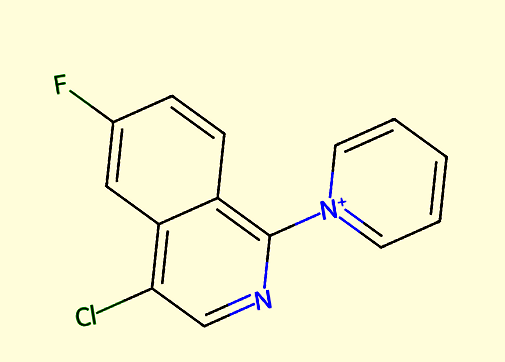 Fc1ccc2c(-[n+]3ccccc3)ncc(Cl)c2c1